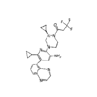 Nc1cc(-c2cccc3nccnc23)c(C2CC2)nc1N1CCN(C(=O)CC(F)(F)F)[C@H](C2CC2)C1